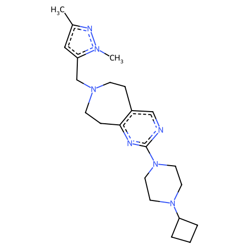 Cc1cc(CN2CCc3cnc(N4CCN(C5CCC5)CC4)nc3CC2)n(C)n1